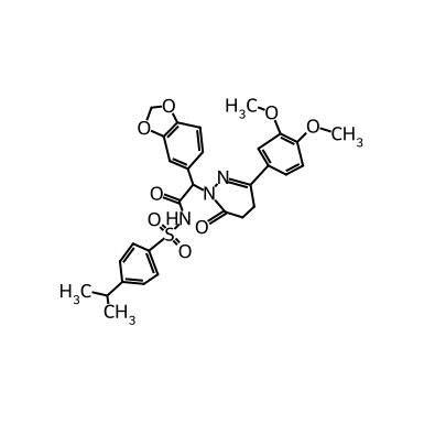 COc1ccc(C2=NN(C(C(=O)NS(=O)(=O)c3ccc(C(C)C)cc3)c3ccc4c(c3)OCO4)C(=O)CC2)cc1OC